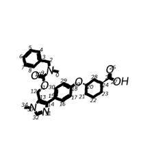 CN(Cc1ccccc1)C(=O)OCc1c(-c2ccc(O[C@H]3CCC[C@H](C(=O)O)C3)cc2)ncn1C